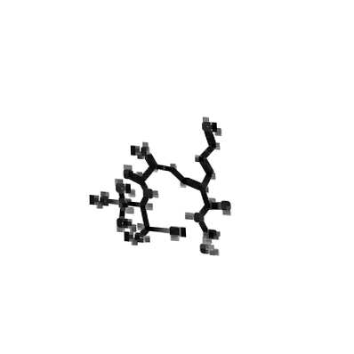 C=CC=CC(=CCC(=C)C(=O)OC(C(C)O)[N+](C)(C)C)C(=O)OCCC.[Cl-]